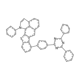 C1=CN(c2ccccc2)c2c3sc4cccc(-c5ccc(-c6nc(-c7ccccc7)nc(-c7ccccc7)n6)cc5)c4c3cc3cccc1c23